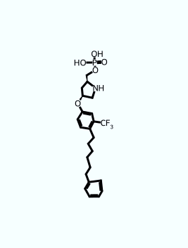 O=P(O)(O)OC[C@@H]1C[C@H](Oc2ccc(CCCCCCc3ccccc3)c(C(F)(F)F)c2)CN1